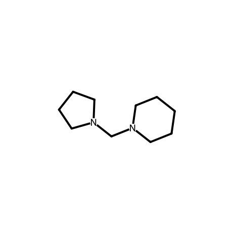 C1CCN(CN2CCCC2)CC1